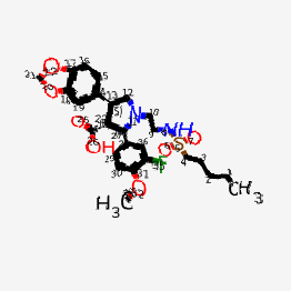 CCCCCS(=O)(=O)NCCN1C[C@H](c2ccc3c(c2)OCO3)[C@@H](C(=O)O)[C@@H]1c1ccc(OC)c(F)c1